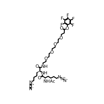 CC(=O)N[C@@H](CCCCN=[N+]=[N-])C(=O)N[C@@H](CCCCN=[N+]=[N-])C(=O)NCCOCCOCCOCCOCCC(=O)Oc1c(F)c(F)c(F)c(F)c1F